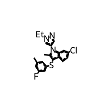 CCn1cc(-n2c(C)c(Sc3cc(C)cc(F)c3)c3ccc(Cl)cc32)cn1